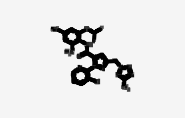 Cc1cc(C#N)cc(OC(F)F)c1NC(=O)c1cc(Cn2nnc(C(F)(F)F)n2)nn1-c1ncccc1Cl